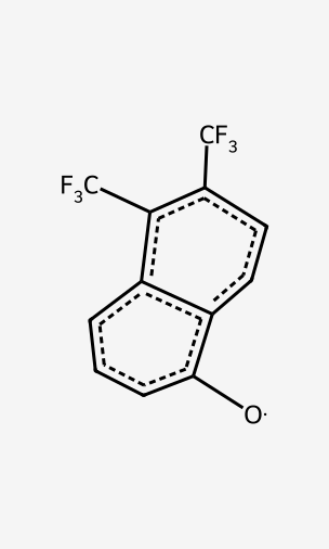 [O]c1cccc2c(C(F)(F)F)c(C(F)(F)F)ccc12